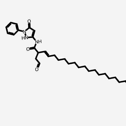 CCCCCCCCCCCCCCCCC=CC(CC=O)C(=O)Nc1cc(=O)n(-c2ccccc2)[nH]1